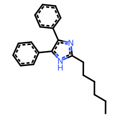 CCCCCCc1nc(-c2ccccc2)c(-c2ccccc2)[nH]1